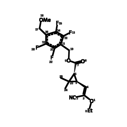 CCO/C(C#N)=C/[C@@H]1[C@@H](C(=O)OCc2c(F)c(F)c(COC)c(F)c2F)C1(C)C